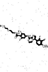 CCc1cc(Nc2nccn3c(-c4ccc(OC)c(F)c4F)cnc23)cc(F)c1C(=O)NCCOCCN